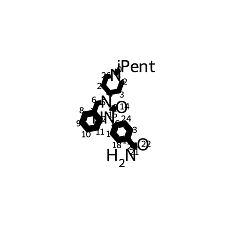 CCCC(C)N1CCC(N(Cc2ccccc2)C(=O)Nc2ccc(C(N)=O)cc2)CC1